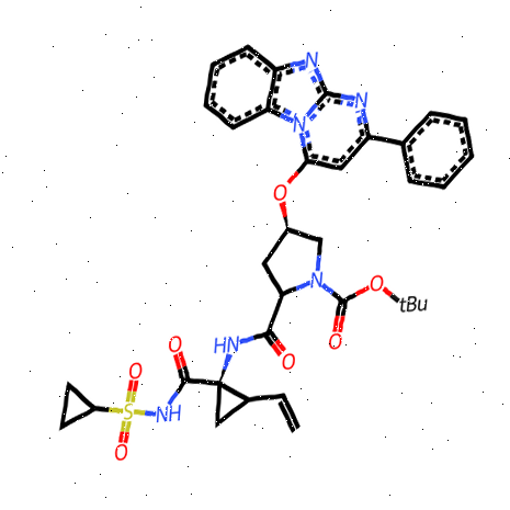 C=CC1C[C@]1(NC(=O)C1C[C@@H](Oc2cc(-c3ccccc3)nc3nc4ccccc4n23)CN1C(=O)OC(C)(C)C)C(=O)NS(=O)(=O)C1CC1